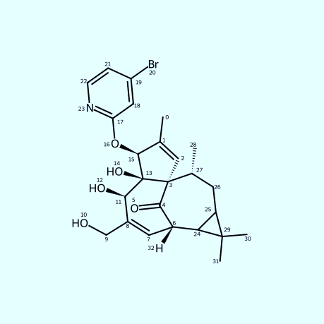 CC1=C[C@]23C(=O)[C@@H](C=C(CO)[C@@H](O)[C@]2(O)[C@H]1Oc1cc(Br)ccn1)C1C(C[C@H]3C)C1(C)C